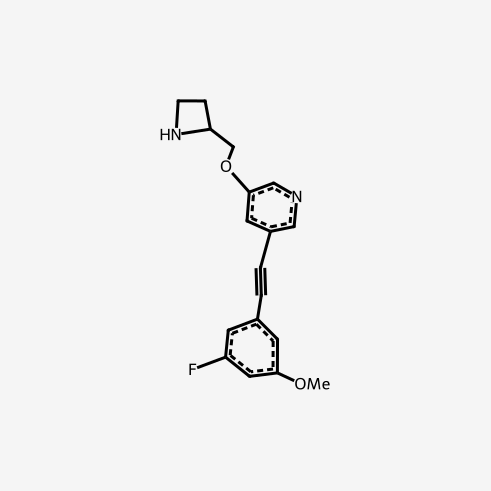 COc1cc(F)cc(C#Cc2cncc(OCC3CCN3)c2)c1